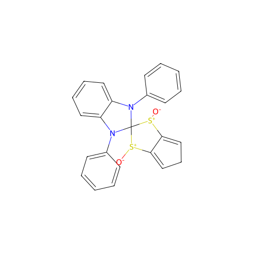 [O-][S+]1C2=CCC=C2[S+]([O-])C12N(c1ccccc1)c1ccccc1N2c1ccccc1